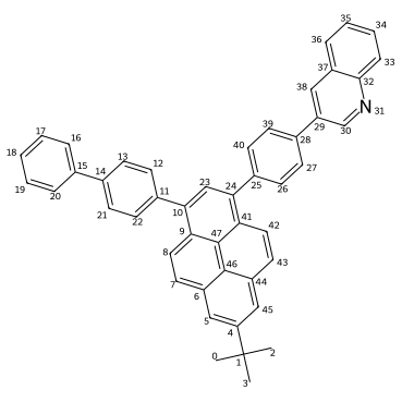 CC(C)(C)c1cc2ccc3c(-c4ccc(-c5ccccc5)cc4)cc(-c4ccc(-c5cnc6ccccc6c5)cc4)c4ccc(c1)c2c34